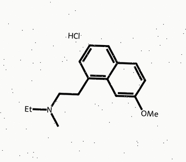 CCN(C)CCc1cccc2ccc(OC)cc12.Cl